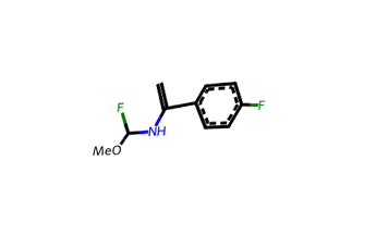 C=C(NC(F)OC)c1ccc(F)cc1